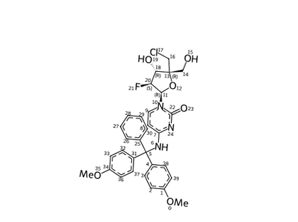 COc1ccc(C(Nc2ccn([C@@H]3O[C@@](CO)(CCl)[C@@H](O)[C@@H]3F)c(=O)n2)(c2ccccc2)c2ccc(OC)cc2)cc1